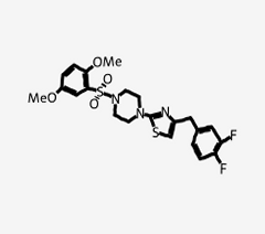 COc1ccc(OC)c(S(=O)(=O)N2CCN(c3nc(Cc4ccc(F)c(F)c4)cs3)CC2)c1